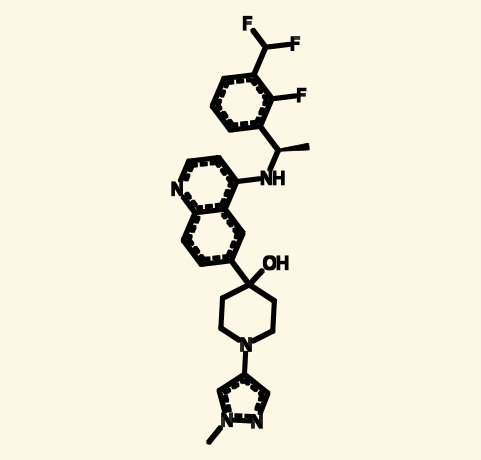 C[C@@H](Nc1ccnc2ccc(C3(O)CCN(c4cnn(C)c4)CC3)cc12)c1cccc(C(F)F)c1F